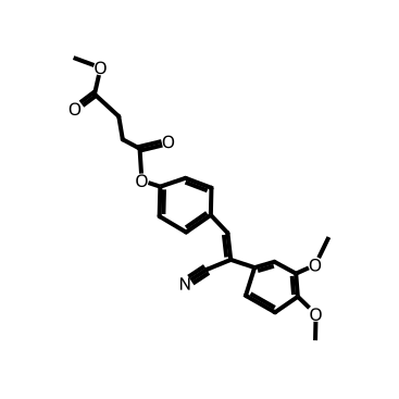 COC(=O)CCC(=O)Oc1ccc(C=C(C#N)c2ccc(OC)c(OC)c2)cc1